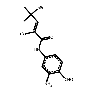 CCCCC(C)(C)/C=C(/C(=O)Nc1ccc(C=O)c(N)c1)C(C)(C)C